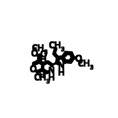 CCCc1c([C@@H]2C[C@@H]3C(C(=O)OC)=CO[C@H](C)[C@@H]3CN2)[nH]c2cc(OC)ccc12